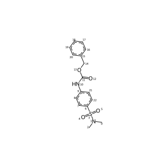 CN(C)S(=O)(=O)c1ccc(NC(=O)OCc2ccccc2)cc1